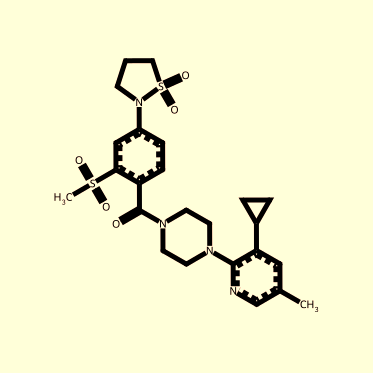 Cc1cnc(N2CCN(C(=O)c3ccc(N4CCCS4(=O)=O)cc3S(C)(=O)=O)CC2)c(C2CC2)c1